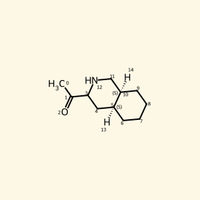 CC(=O)C1C[C@@H]2CCCC[C@@H]2CN1